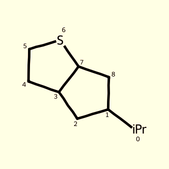 CC(C)C1CC2CCSC2C1